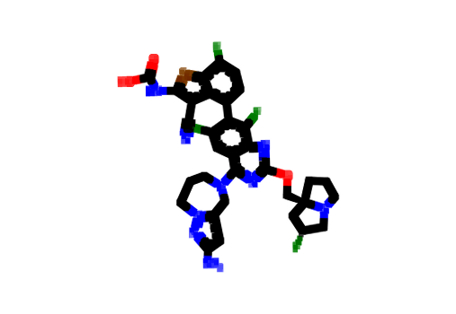 N#Cc1c(NC(=O)O)sc2c(F)ccc(-c3c(Cl)cc4c(N5CCCn6nc(N)cc6C5)nc(OC[C@@]56CCCN5C[C@H](F)C6)nc4c3F)c12